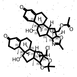 CC(=O)OCC(=O)[C@@]12N=C(C)O[C@@H]1C[C@H]1[C@@H]3CCC4=CC(=O)C=C[C@]4(C)[C@@]3(F)[C@@H](O)C[C@@]12C.CC1(C)O[C@@H]2C[C@H]3[C@@H]4CCC5=CC(=O)CC[C@]5(C)[C@@]4(F)[C@@H](O)C[C@]3(C)[C@]2(C(=O)CCl)O1